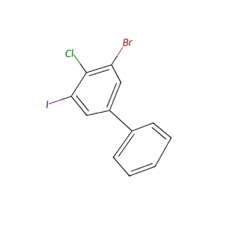 Clc1c(Br)cc(-c2ccccc2)cc1I